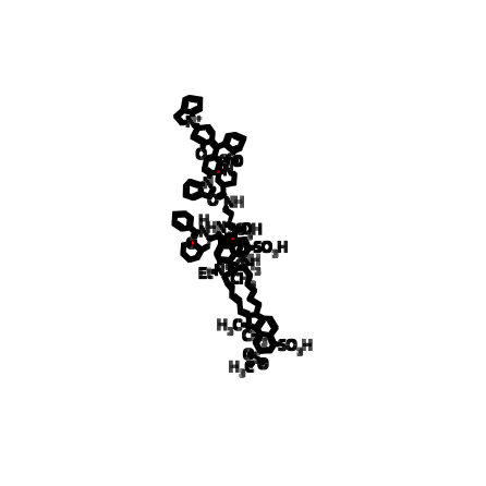 CC[N+]1=C(/C=C/C=C/C=C2\C(CCCCCC(=O)NCCNC(=O)[C@H](CCNC(=O)C3CCN(S(=O)(=O)c4ccccc4-c4c5cc/c(=[N+]6/CCc7ccccc76)cc-5oc5cc(N6CCc7ccccc76)ccc45)CC3)NC(=O)[C@H](CC3CCCCC3)NC(=O)c3ccccc3)c3ccc4c(S(=O)(=O)O)cc(S(C)(=O)=O)cc4c3C2(C)C)C(C)(C)c2c1ccc1c(S(=O)(=O)O)cc(S(=O)(=O)O)cc21